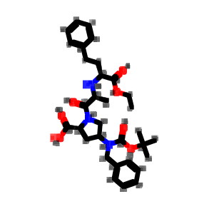 CCOC(=O)[C@H](CCc1ccccc1)N[C@@H](C)C(=O)N1CC(N(Cc2ccccc2)C(=O)OC(C)(C)C)C[C@H]1C(=O)O